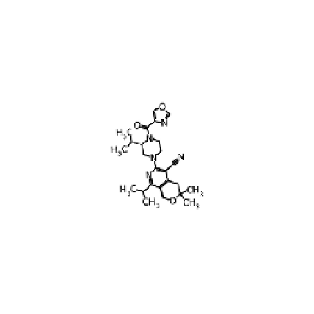 CC(C)c1nc(N2CCN(C(=O)c3cocn3)[C@H](C(C)C)C2)c(C#N)c2c1COC(C)(C)C2